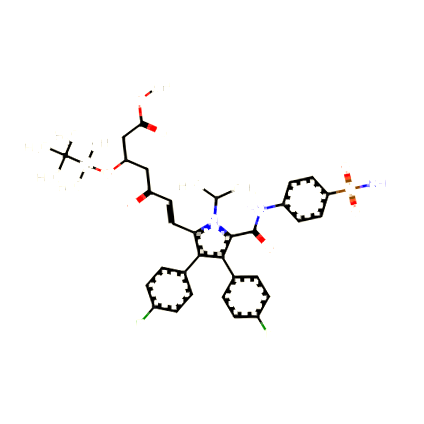 COC(=O)CC(CC(=O)/C=C/c1c(-c2ccc(F)cc2)c(-c2ccc(F)cc2)c(C(=O)Nc2ccc(S(N)(=O)=O)cc2)n1C(C)C)O[Si](C)(C)C(C)(C)C